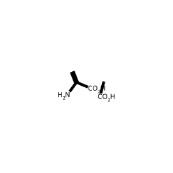 C=C(N)C(=O)O.CC(=O)O